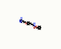 O=C(NCCCCc1ccc(OCCCc2nnn[nH]2)cc1)OCc1ccccc1